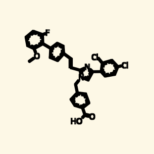 COc1cccc(F)c1-c1ccc(C=Cc2nc(-c3ccc(Cl)cc3Cl)cn2Cc2ccc(C(=O)O)cc2)cc1